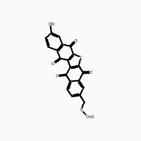 O=COCc1ccc2c(=O)c3c(sc4c(=O)c5cc(O)ccc5c(=O)c43)c(=O)c2c1